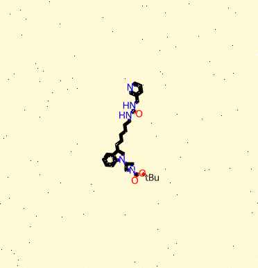 CC(C)(C)OC(=O)N1CC(N2CC(CCCCCCNC(=O)NCc3cccnc3)c3ccccc32)C1